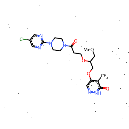 COCC(COc1cn[nH]c(=O)c1C(F)(F)F)OCCC(=O)N1CCN(c2ncc(Cl)cn2)CC1